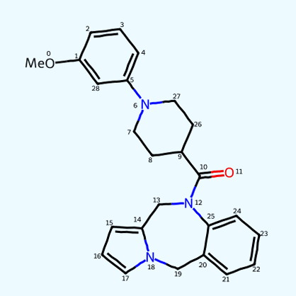 COc1cccc(N2CCC(C(=O)N3Cc4cccn4Cc4ccccc43)CC2)c1